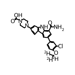 [2H]C([2H])([2H])Oc1ccc(-c2cc(C(N)=O)c3[nH]c4cc(N5CCN(C(=O)O)CC5)ccc4c3c2)cc1Cl